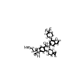 O=C(Nc1cc(N2CCC(F)(F)CC2)c2occc2c1)c1ccc(NS(=O)(=O)CCO)cc1N1CCC2(CC1)CC2